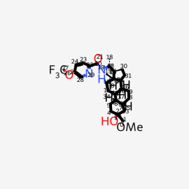 COC[C@@]1(O)CC[C@H]2[C@H](CC[C@@H]3[C@@H]2CC[C@]2(C)[C@@H]([C@@H](C)NC(=O)c4ccc(OC(F)(F)F)cn4)CC[C@@H]32)C1